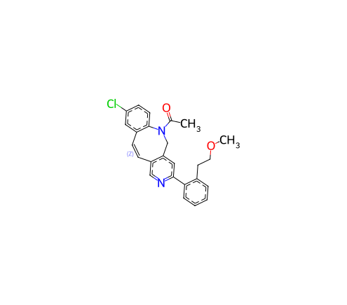 COCCc1ccccc1-c1cc2c(cn1)/C=C\c1cc(Cl)ccc1N(C(C)=O)C2